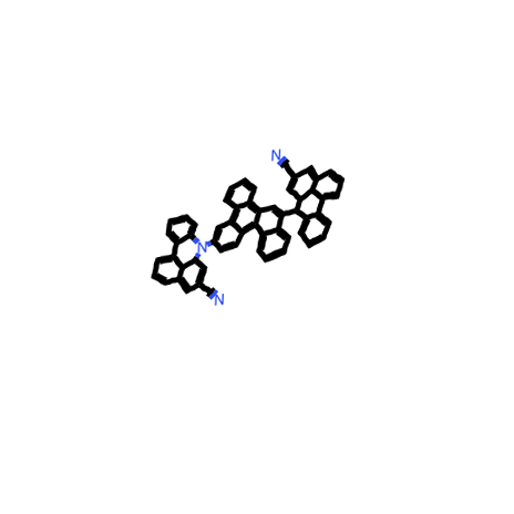 N#CC1=CC2C3C(=C1)C=CC=C3c1ccccc1C2c1cc2c3ccccc3c3cc(N4c5ccccc5C5=CC=CC6=CC(C#N)=CC4C65)ccc3c2c2ccccc12